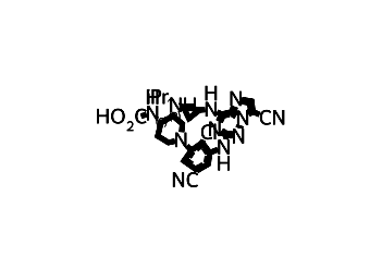 CC(C)N[C@@H]1CN(c2cc(C#N)cc(Nc3nc(NC4CC4)c4ncc(C#N)n4n3)c2Cl)CC[C@@H]1NC(=O)O